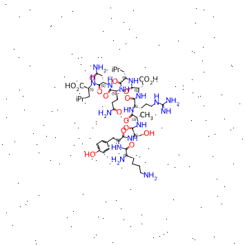 CC(C)C[C@H](NC(=O)[C@H](CC(N)=O)NC(=O)[C@H](CCC(N)=O)NC(=O)[C@H](CC(C)C)NC(=O)[C@H](CC(=O)O)NC(=O)[C@H](CCCNC(=N)N)NC(=O)[C@H](C)NC(=O)[C@H](CO)NC(=O)[C@H](Cc1ccc(O)cc1)NC(=O)[C@@H](N)CCCCN)C(=O)O